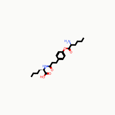 CCCC[C@H](NC(=O)CCc1ccc(OC(=O)[C@@H](N)CCCC)cc1)C(=O)O